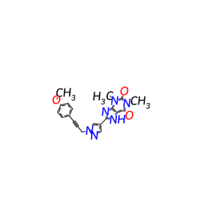 COc1ccc(C#CCn2cc(-c3nc4c([nH]3)c(=O)n(C)c(=O)n4C)cn2)cc1